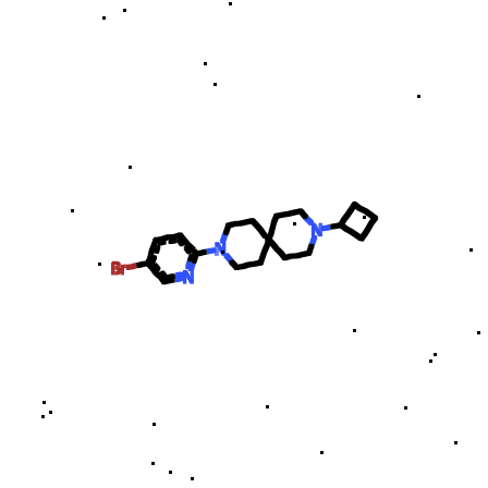 Brc1ccc(N2CCC3(CC2)CCN(C2CCC2)CC3)nc1